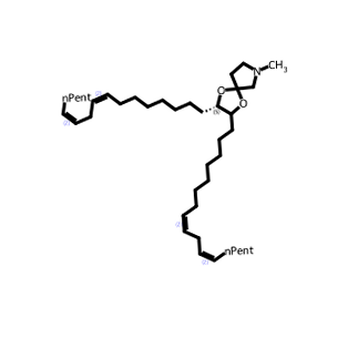 CCCCC/C=C\C/C=C\CCCCCCCC1OC2(CCN(C)C2)O[C@H]1CCCCCCC/C=C\C/C=C\CCCCC